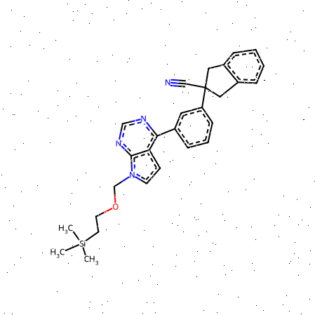 C[Si](C)(C)CCOCn1ccc2c(-c3cccc(C4(C#N)Cc5ccccc5C4)c3)ncnc21